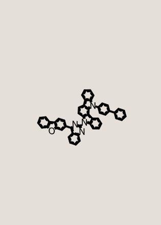 c1ccc(-c2ccc(-n3c4ccccc4c4ccc5c(c6ccccc6n5-c5nc(-c6ccc7c(c6)oc6ccccc67)c6ccccc6n5)c43)cc2)cc1